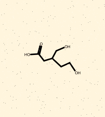 O=C(O)C[C](CO)CCO